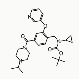 CC(C)N1CCN(C(=O)c2ccc(CN(C(=O)OC(C)(C)C)C3CC3)c(Oc3cccnc3)c2)CC1